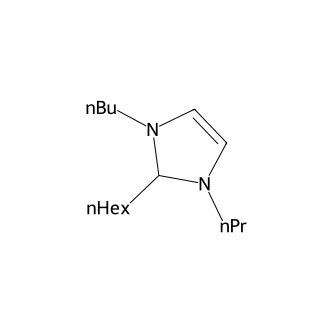 CCCCCCC1N(CCC)C=CN1CCCC